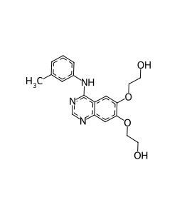 Cc1cccc(Nc2ncnc3cc(OCCO)c(OCCO)cc23)c1